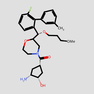 COCCCO[C@@H](c1cccc(F)c1-c1cccc(C)c1)C1CN(C(=O)[C@H]2C[C@@H](N)[C@@H](O)C2)CCO1